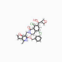 Cc1nc(OCc2ccccc2)c(CN2CCc3c(Cl)cc(C(O)C4COC4)c(Cl)c3C2=O)c2occc12